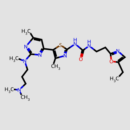 CCc1cnc(CCNC(=O)Nc2nc(C)c(-c3cc(C)nc(N(C)CCCN(C)C)n3)s2)o1